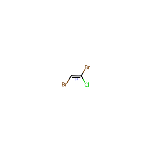 Cl/C(Br)=C\Br